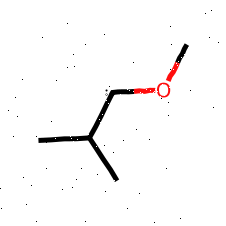 CO[C]C(C)C